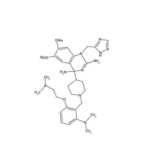 COc1cc2c(cc1OC)C(N)(C1CCN(Cc3c(OCCN(C)C)cccc3N(C)C)CC1)N=C(N)N2Cc1ncn[nH]1